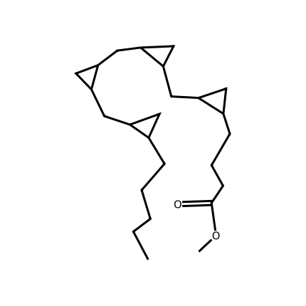 CCCCCC1CC1CC1CC1CC1CC1CC1CC1CCCC(=O)OC